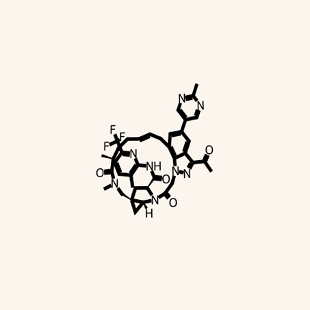 CC(=O)c1nn2c3c(cc(-c4cnc(C)nc4)cc13)C/C=C/CC[C@H](C)C(=O)N(C)C[C@@]13C[C@@H](C(=O)Nc4nc(C(F)(F)F)ccc4C)N(C(=O)C2)[C@@H]1C3